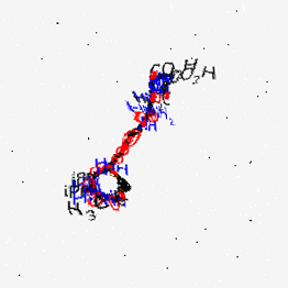 CC[C@H](C)[C@@H]1NC(=O)[C@H](CC(C)C)NC(=O)[C@H](C)NC(=O)CCSCc2cccc(c2)CSC[C@@H](C(=O)NCCCOCCOCCOCCCNC(=O)CCC(=O)N[C@@H](CCCCNC(=O)CN2CCN(CC(=O)O)CCN(CC(=O)O)CCN(CC(=O)O)CC2)C(N)=O)NC1=O